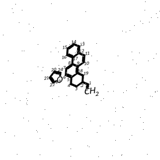 C=CC1CCc2ccc3c(ccc4ccccc43)c2C1.c1ccoc1